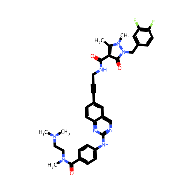 Cc1c(C(=O)NCC#Cc2ccc3nc(Nc4ccc(C(=O)N(C)CCN(C)C)cc4)ncc3c2)c(=O)n(Cc2ccc(F)c(F)c2)n1C